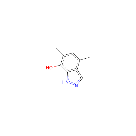 Cc1cc(C)c2cn[nH]c2c1O